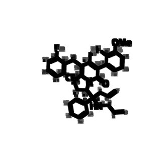 C=CCNC(CC=C)(c1ccccc1)C1CSc2c(Cc3c(F)cccc3C(F)(F)F)c(C)c(-c3cccc(OC)c3F)c(=O)n21